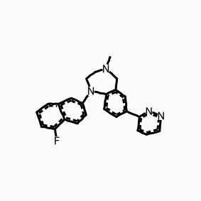 CN1CCN(c2ccc3c(F)cccc3c2)c2ccc(-c3cccnn3)cc2C1